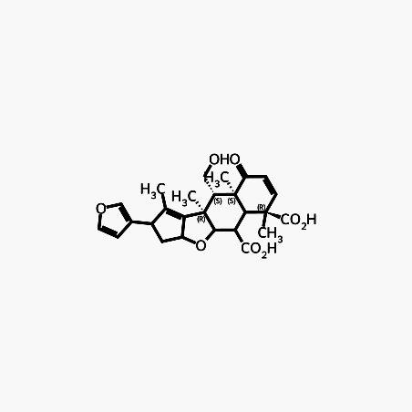 CC1=C2C(CC1c1ccoc1)OC1C(C(=O)O)C3[C@](C)(C(=O)O)C=CC(=O)[C@]3(C)[C@@H](CO)[C@]21C